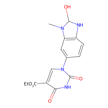 CCOC(=O)c1cn(-c2ccc3c(c2)N(C)C(O)N3)c(=O)[nH]c1=O